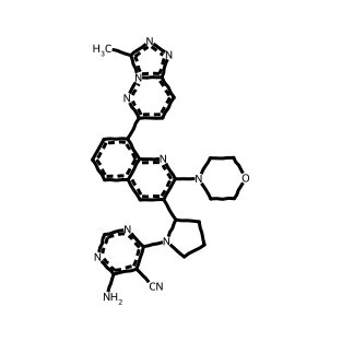 Cc1nnc2ccc(-c3cccc4cc(C5CCCN5c5ncnc(N)c5C#N)c(N5CCOCC5)nc34)nn12